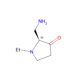 CCN1CCC(=O)[C@@H]1CN